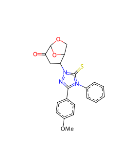 COc1ccc(-c2nn(C3CC(=O)C4OCC3O4)c(=S)n2-c2ccccc2)cc1